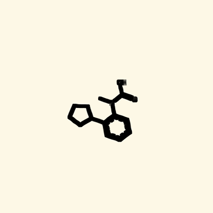 CN(C(=O)O)c1ccccc1C1CCCC1